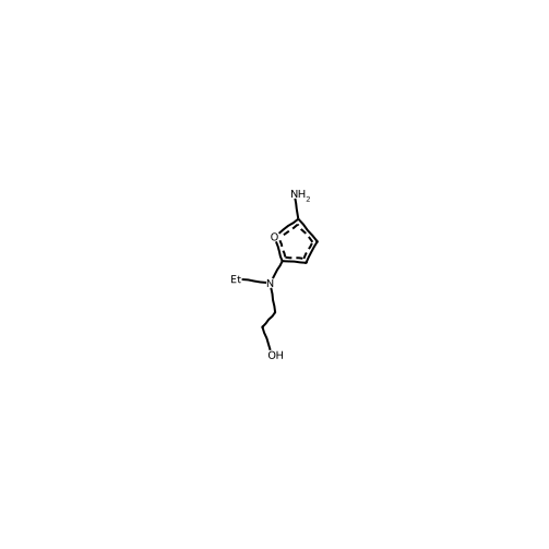 CCN(CCO)c1ccc(N)o1